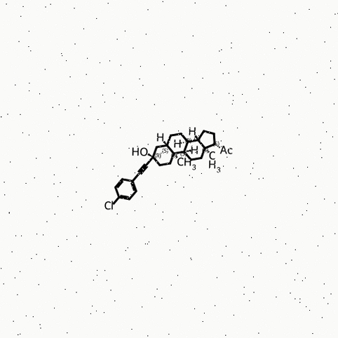 CC(=O)[C@H]1CC[C@H]2[C@@H]3CC[C@H]4C[C@@](O)(C#Cc5ccc(Cl)cc5)CC[C@]4(C)[C@H]3CC[C@]12C